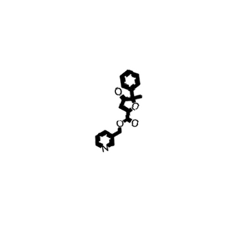 CC1(c2ccccc2)OC(C(=O)OCc2cccnc2)=CC1=O